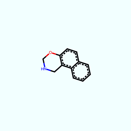 c1ccc2c3c(ccc2c1)OCNC3